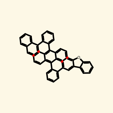 c1ccc(-c2c3ccccc3c(-c3ccccc3-c3cccc4ccccc34)c3ccccc23)c(-c2ccc3oc4ccccc4c3c2)c1